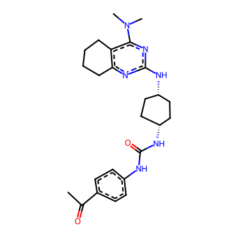 CC(=O)c1ccc(NC(=O)N[C@H]2CC[C@@H](Nc3nc4c(c(N(C)C)n3)CCCC4)CC2)cc1